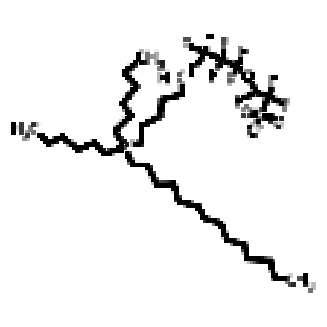 CCCCCCCCCCCCCC[P+](CCCCCC)(CCCCCC)CCCCCC.O=S(=O)([O-])C(F)(F)C(F)OC(F)(F)C(F)(F)C(F)(F)F